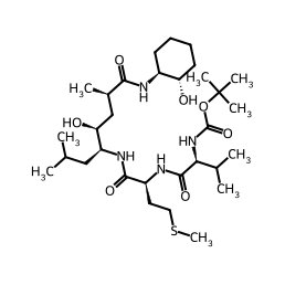 CSCC[C@H](NC(=O)[C@@H](NC(=O)OC(C)(C)C)C(C)C)C(=O)N[C@@H](CC(C)C)[C@@H](O)C[C@@H](C)C(=O)N[C@H]1CCCC[C@@H]1O